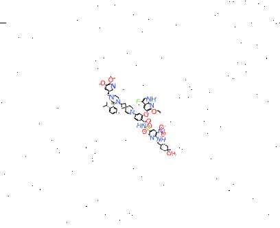 CCOc1nc2[nH]cc(F)c2cc1Oc1cc(N2CCC3(CC2)CC(N2CCN(Cc4cnc(OC)c(OC)c4)C[C@H]2c2ccccc2C(C)C)C3)ccc1C(=O)NS(=O)(=O)c1cnc(NCC2CCC(C)(O)CC2)c([N+](=O)[O-])c1